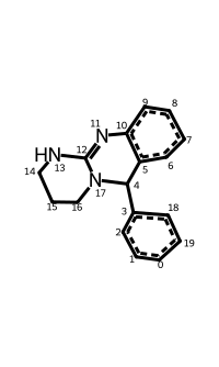 c1ccc(C2c3ccccc3N=C3NCCCN32)cc1